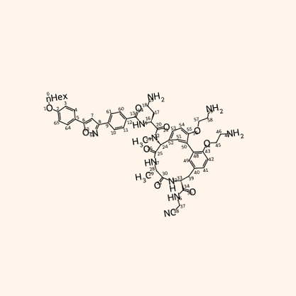 CCCCCCOc1ccc(-c2cc(-c3ccc(C(=O)N[C@@H](CCN)C(=O)N(C)[C@@H]4C(=O)N[C@@H](C)C(=O)N[C@H](C(=O)NCC#N)Cc5ccc(OCCN)c(c5)-c5cc4ccc5OCCN)cc3)no2)cc1